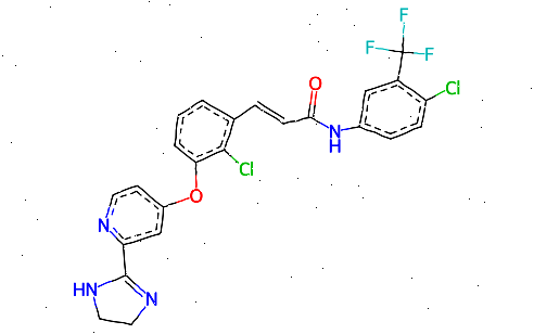 O=C(C=Cc1cccc(Oc2ccnc(C3=NCCN3)c2)c1Cl)Nc1ccc(Cl)c(C(F)(F)F)c1